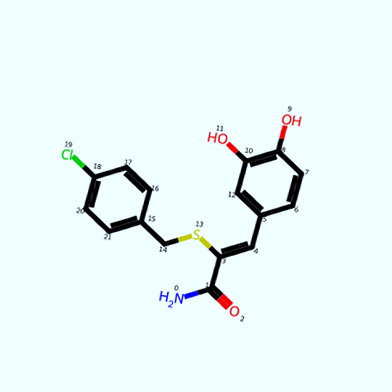 NC(=O)C(=Cc1ccc(O)c(O)c1)SCc1ccc(Cl)cc1